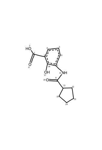 O=C(O)c1cccc(NC(=O)C2CCCC2)c1O